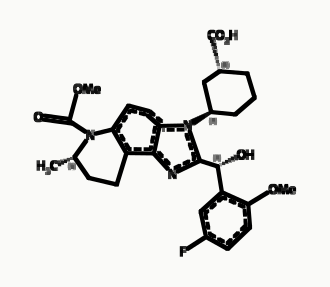 COC(=O)N1c2ccc3c(nc([C@H](O)c4cc(F)ccc4OC)n3[C@@H]3CCC[C@@H](C(=O)O)C3)c2CC[C@@H]1C